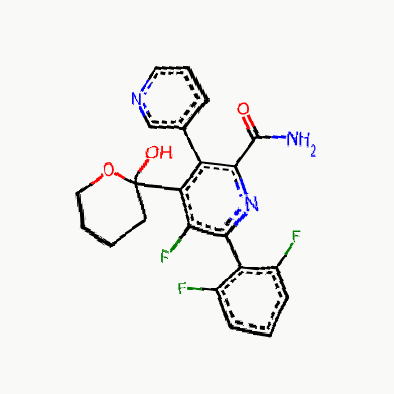 NC(=O)c1nc(-c2c(F)cccc2F)c(F)c(C2(O)CCCCO2)c1-c1cccnc1